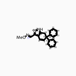 CO/N=C/c1n[nH]c2c1C=CC(c1ccccc1)(c1ccccc1)C2